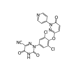 N#Cc1nn(-c2cc(Cl)c(Oc3ccc(=O)n(-c4ccncc4)n3)c(Cl)c2)c(=O)[nH]c1=O